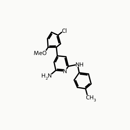 COc1ccc(Cl)cc1-c1cc(N)nc(Nc2ccc(C)cc2)c1